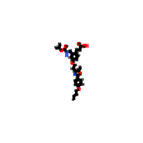 CCCCOc1ccc(-c2nc(CCOc3ccc(CCC(=O)O)c(CNC(=O)OC(C)C)c3)c(C)o2)cc1